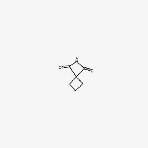 O=C1NC(=O)C12CCC2